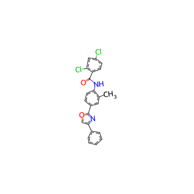 Cc1cc(-c2nc(-c3ccccc3)co2)ccc1NC(=O)c1ccc(Cl)cc1Cl